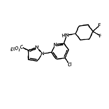 CCOC(=O)c1ccn(-c2cc(Cl)cc(NC3CCC(F)(F)CC3)n2)n1